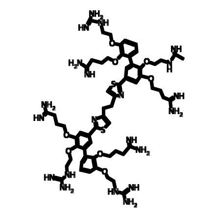 CC(=N)NCCOc1c(OCCCC(=N)N)cc(-c2nc(CCc3csc(-c4cc(OCCCC(=N)N)c(OCCNC(=N)N)c(-c5cccc(OCCNC(=N)N)c5OCCCC(=N)N)c4)n3)cs2)cc1-c1cccc(OCCNC(=N)N)c1OCCCC(=N)N